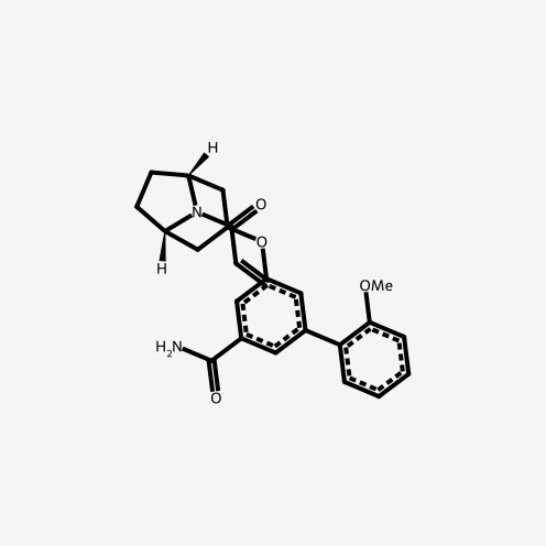 C=CC(=O)N1[C@@H]2CC[C@H]1CC(Oc1cc(C(N)=O)cc(-c3ccccc3OC)c1)C2